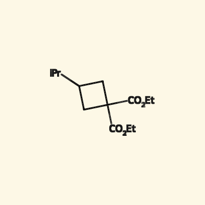 CCOC(=O)C1(C(=O)OCC)CC(C(C)C)C1